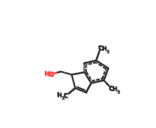 CC1=Cc2c(C)cc(C)cc2C1CO